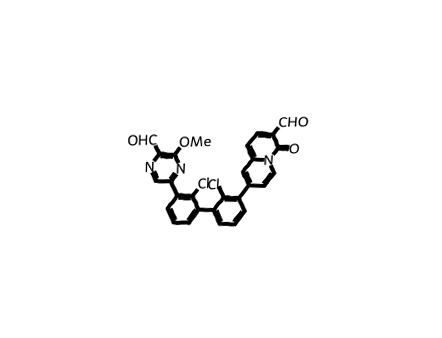 COc1nc(-c2cccc(-c3cccc(-c4ccn5c(=O)c(C=O)ccc5c4)c3Cl)c2Cl)cnc1C=O